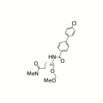 CNC(=O)CC[C@@H](COCOC)NC(=O)c1ccc(-c2ccc(Cl)cc2)cc1